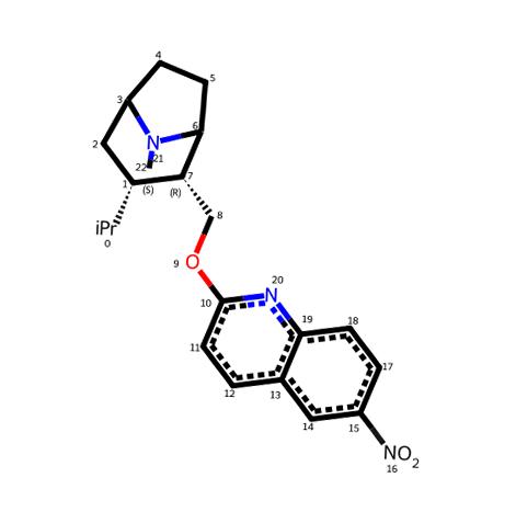 CC(C)[C@@H]1CC2CCC([C@@H]1COc1ccc3cc([N+](=O)[O-])ccc3n1)N2C